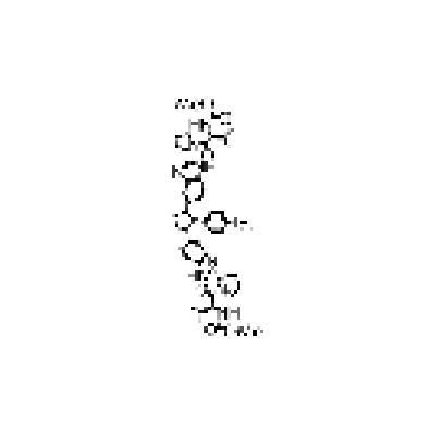 COC(=O)NC(C(=O)N1CCC[C@H]1c1nc2cc([C@@H]3CC[C@@H](c4ccc5[nH]c([C@@H]6CCCN6C(=O)C(NC(=O)OC)=C(C)C)nc5c4)C3c3ccc(C(C)(C)C)cc3)ccc2[nH]1)=C(C)C